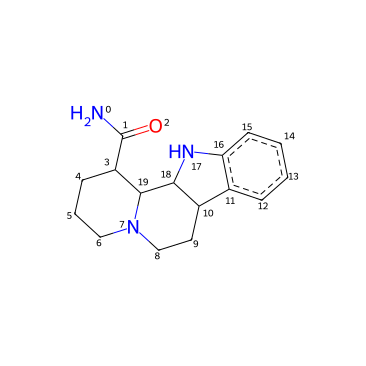 NC(=O)C1CCCN2CCC3c4ccccc4NC3C12